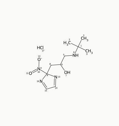 CC(C)(C)NCC(O)CC1([N+](=O)[O-])N=CC=N1.Cl